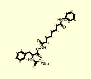 CC(C)(C)OC(=O)NC(Cc1ccccc1)C(=O)ONC(=O)CCCCCCC(=O)Nc1ccccc1